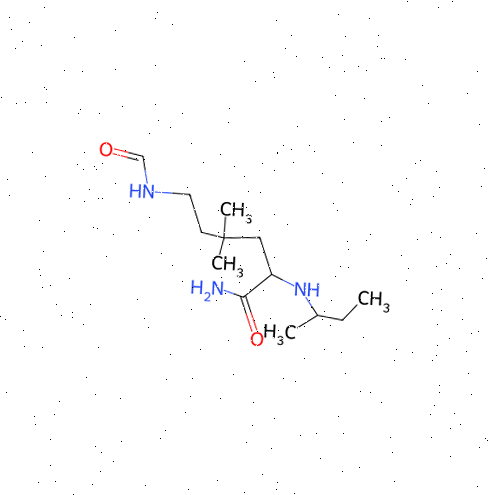 CCC(C)NC(CC(C)(C)CCNC=O)C(N)=O